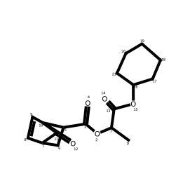 CC(OC(=O)C1CC2C=CC1C2=O)C(=O)OC1CCCCC1